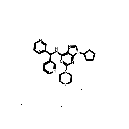 c1cncc(C(Nc2nc(N3CCNCC3)nc3c2ncn3C2CCCC2)c2cccnc2)c1